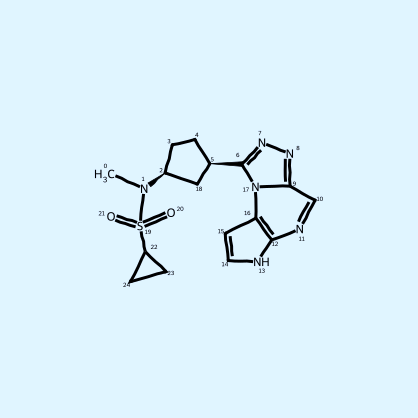 CN([C@H]1CC[C@@H](c2nnc3cnc4[nH]ccc4n23)C1)S(=O)(=O)C1CC1